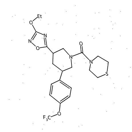 CCOc1noc(C2CC(c3ccc(OC(F)(F)F)cc3)CN(C(=O)N3CCSCC3)C2)n1